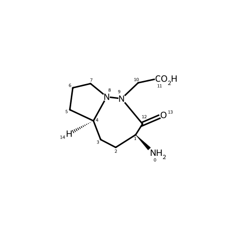 N[C@H]1CC[C@H]2CCCN2N(CC(=O)O)C1=O